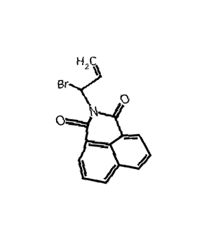 C=CC(Br)N1C(=O)c2cccc3cccc(c23)C1=O